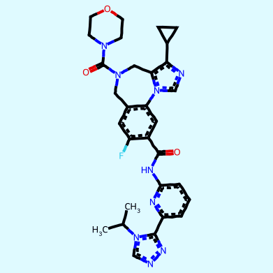 CC(C)n1cnnc1-c1cccc(NC(=O)c2cc3c(cc2F)CN(C(=O)N2CCOCC2)Cc2c(C4CC4)ncn2-3)n1